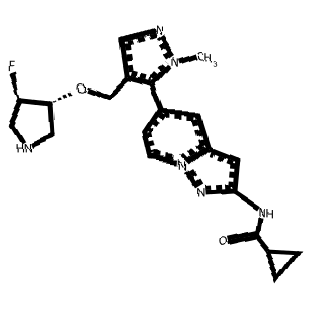 Cn1ncc(CO[C@@H]2CNC[C@H]2F)c1-c1ccn2nc(NC(=O)C3CC3)cc2c1